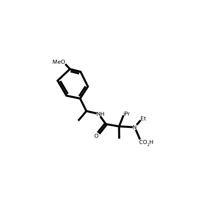 CCN(C(=O)O)C(C)(C(=O)NC(C)c1ccc(OC)cc1)C(C)C